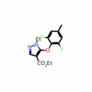 CCOC(=O)c1cnn(CC)c1Oc1c(F)cc(C)cc1F